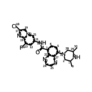 CC1CN(c2ccc(C(=O)Nc3cc(F)c4nc(Cl)cn4c3)c3nccnc23)CC(C)N1